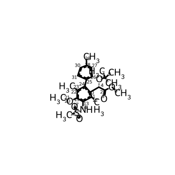 COC(=O)[C@@H](OC(C)(C)C)c1c(C)c(NS(C)(=O)=O)c(OC)c(C)c1-c1ccc(C)cc1